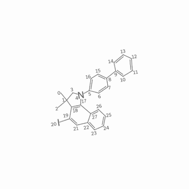 CC1(C)CN(c2ccc(-c3ccccc3)cc2)c2c1c(I)cc1ccccc21